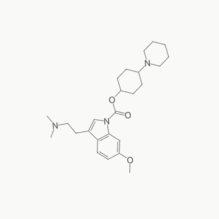 COc1ccc2c(CCN(C)C)cn(C(=O)OC3CCC(N4CCCCC4)CC3)c2c1